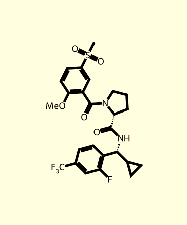 COc1ccc(S(C)(=O)=O)cc1C(=O)N1CCC[C@@H]1C(=O)N[C@@H](c1ccc(C(F)(F)F)cc1F)C1CC1